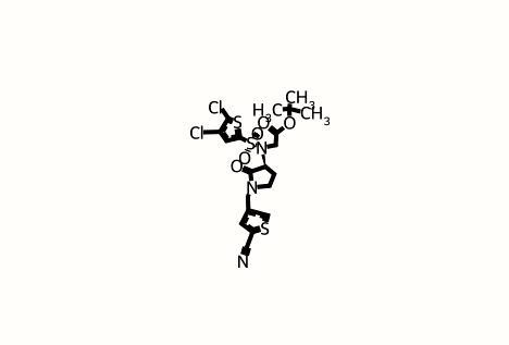 CC(C)(C)OC(=O)CN([C@H]1CCN(Cc2csc(C#N)c2)C1=O)S(=O)(=O)c1cc(Cl)c(Cl)s1